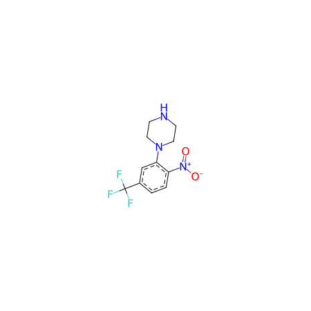 O=[N+]([O-])c1ccc(C(F)(F)F)cc1N1CCNCC1